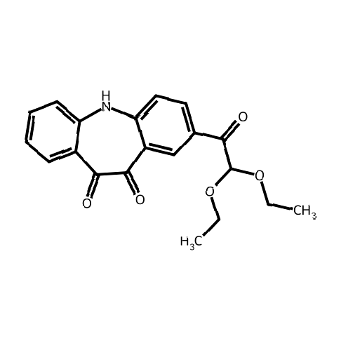 CCOC(OCC)C(=O)c1ccc2[nH]c3ccccc3c(=O)c(=O)c2c1